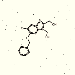 N#CCn1c(CO)nc2cc(Cl)c(OCc3ccccc3)cc21